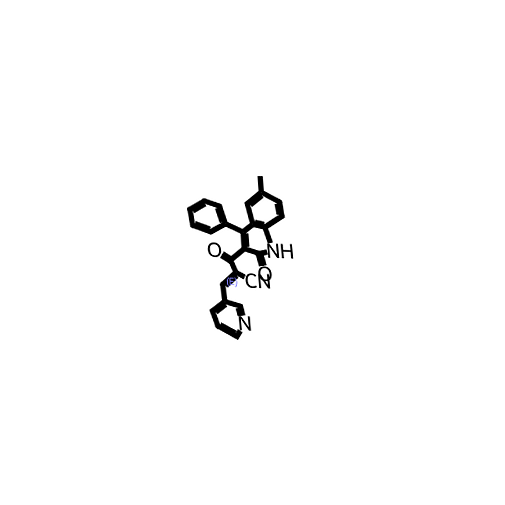 Cc1ccc2[nH]c(=O)c(C(=O)/C(C#N)=C/c3cccnc3)c(-c3ccccc3)c2c1